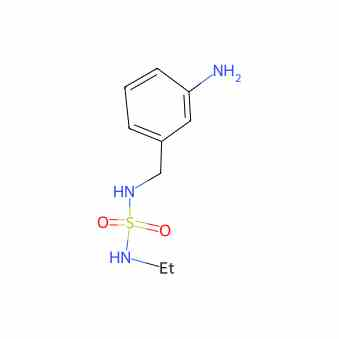 CCNS(=O)(=O)NCc1cccc(N)c1